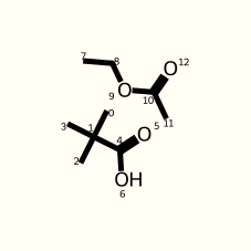 CC(C)(C)C(=O)O.CCOC(C)=O